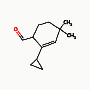 CC1(C)C=C(C2CC2)C(C=O)CC1